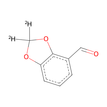 [2H]C1([2H])Oc2cccc(C=O)c2O1